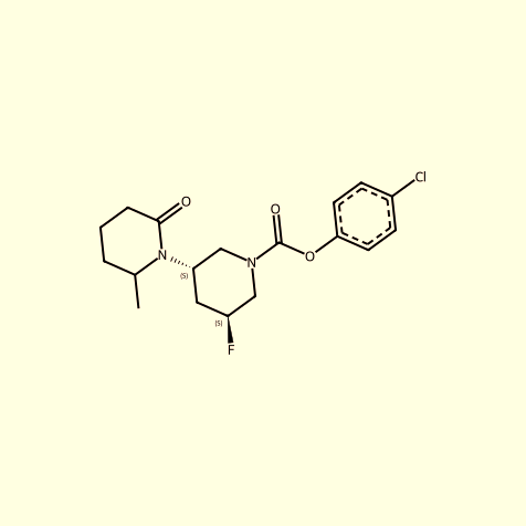 CC1CCCC(=O)N1[C@H]1C[C@H](F)CN(C(=O)Oc2ccc(Cl)cc2)C1